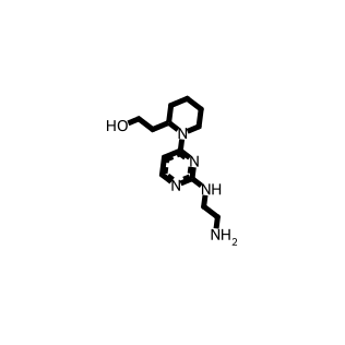 NCCNc1nccc(N2CCCCC2CCO)n1